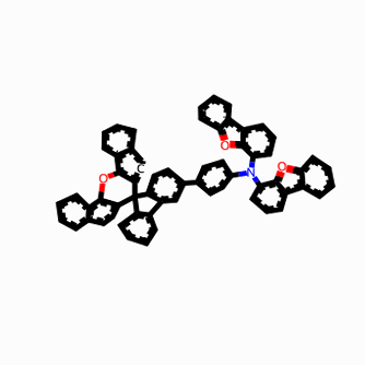 c1ccc2c(c1)-c1cc(-c3ccc(N(c4cccc5c4oc4ccccc45)c4cccc5c4oc4ccccc45)cc3)ccc1C21c2ccc3ccccc3c2Oc2c1ccc1ccccc21